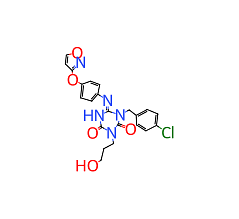 O=c1[nH]/c(=N\c2ccc(Oc3ccon3)cc2)n(Cc2ccc(Cl)cc2)c(=O)n1CCCO